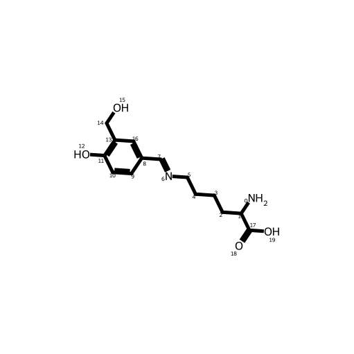 NC(CCCCN=Cc1ccc(O)c(CO)c1)C(=O)O